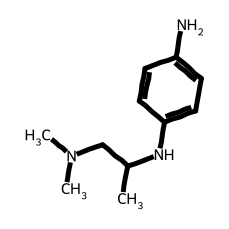 CC(CN(C)C)Nc1ccc(N)cc1